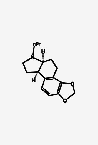 CCCN1CC[C@@H]2c3ccc4c(c3CC[C@@H]21)OCO4